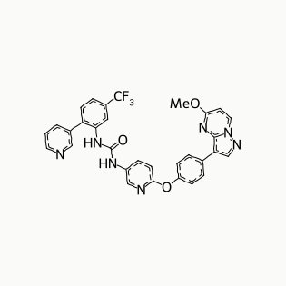 COc1ccn2ncc(-c3ccc(Oc4ccc(NC(=O)Nc5cc(C(F)(F)F)ccc5-c5cccnc5)cn4)cc3)c2n1